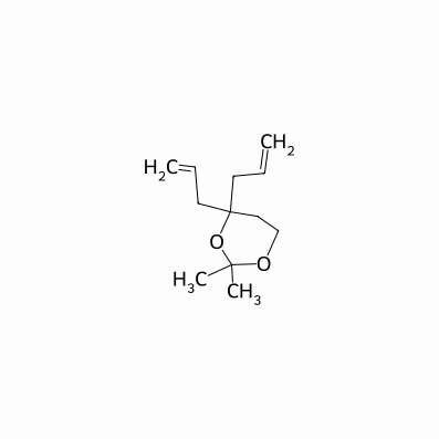 C=CCC1(CC=C)CCOC(C)(C)O1